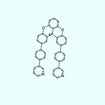 S=P12c3cc(-c4ccc(-c5cccnc5)cc4)ccc3Oc3cccc(c31)Oc1ccc(-c3ccc(-c4cccnc4)cc3)cc12